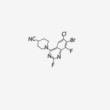 N#CC1CCN(c2nc(F)nc3c(F)c(Br)c(Cl)cc23)CC1